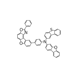 c1ccc(-c2nc3c(ccc4oc5ccc(-c6ccc(N(c7ccc8c(c7)oc7ccccc78)c7ccc8sc9ccccc9c8c7)cc6)cc5c43)o2)cc1